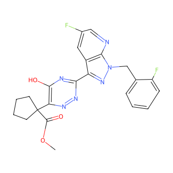 COC(=O)C1(c2nnc(-c3nn(Cc4ccccc4F)c4ncc(F)cc34)nc2O)CCCC1